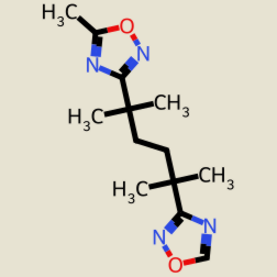 Cc1nc(C(C)(C)CCC(C)(C)c2ncon2)no1